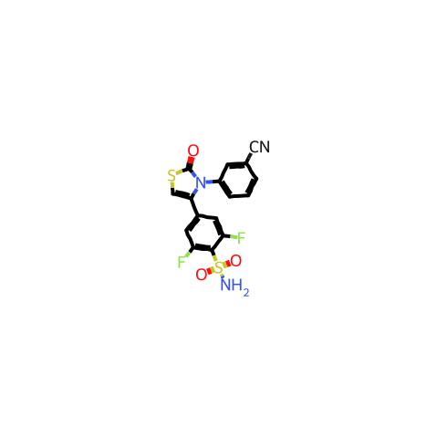 N#Cc1cccc(-n2c(-c3cc(F)c(S(N)(=O)=O)c(F)c3)csc2=O)c1